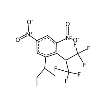 CCC(C)c1cc([N+](=O)[O-])cc([N+](=O)[O-])c1C(C(F)(F)F)C(F)(F)F